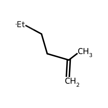 C=C(C)CC[CH]C